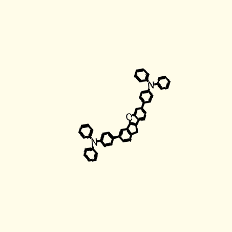 c1ccc(N(c2ccccc2)c2ccc(-c3ccc4c(c3)-c3oc5cc(-c6ccc(N(c7ccccc7)c7ccccc7)cc6)ccc5c3C4)cc2)cc1